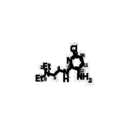 CCN(CC)CCNc1nc(Cl)ccc1N